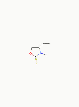 CCC1COC(=S)N1C